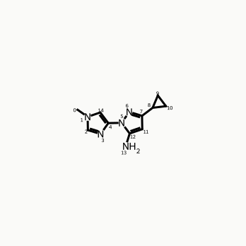 Cn1cnc(-n2nc(C3CC3)cc2N)c1